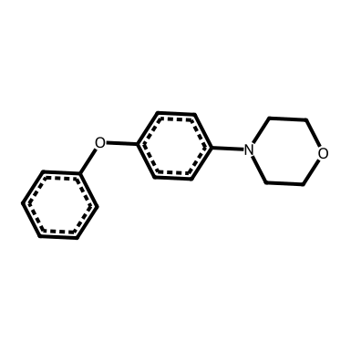 c1ccc(Oc2ccc(N3CCOCC3)cc2)cc1